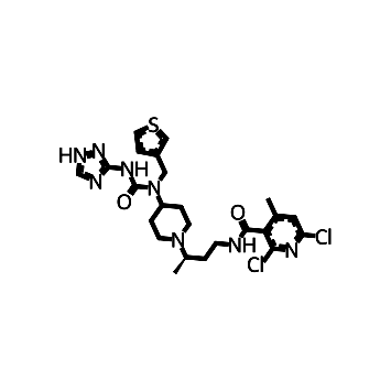 Cc1cc(Cl)nc(Cl)c1C(=O)NCC[C@@H](C)N1CCC(N(Cc2ccsc2)C(=O)Nc2nc[nH]n2)CC1